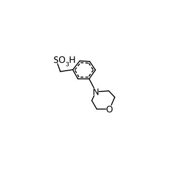 O=S(=O)(O)Cc1cccc(N2CCOCC2)c1